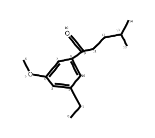 CCc1cc(OC)cc(C(=O)CCC(C)C)c1